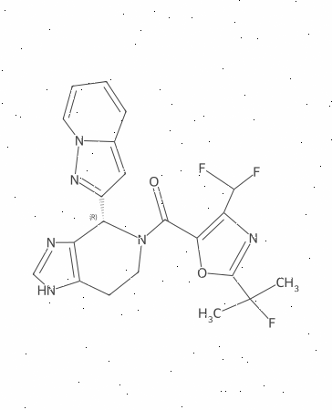 CC(C)(F)c1nc(C(F)F)c(C(=O)N2CCc3[nH]cnc3[C@@H]2c2cc3ccccn3n2)o1